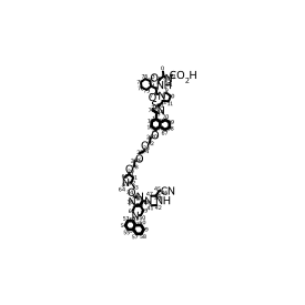 CC(C(=O)N[C@H](C(=O)N1CCCC1c1nc(-c2ccc(OCCOCCOCCO[C@@H]3C[C@@H](COc4nc5c(c(N6CCNC(CC#N)C6)n4)CCN(c4cccc6ccccc46)C5)N(C)C3)c3ccccc23)cs1)C1CCCCC1)N(C)C(=O)O